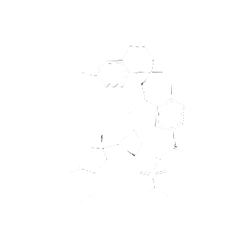 CC[C@@H](C[C@](C)(O)[C@@H]1CC[C@H]1CN1C[C@@]2(CCCc3cc(Cl)ccc32)COc2ccc(C(=O)NS(=O)(=O)C(C)C)cc21)NC